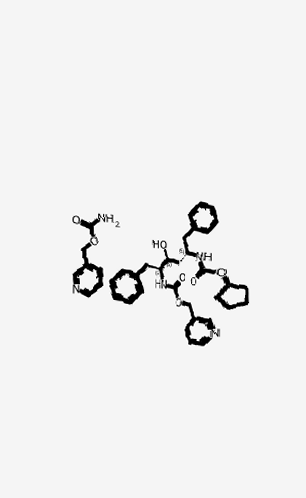 NC(=O)OCc1cccnc1.O=C(N[C@@H](Cc1ccccc1)[C@@H](O)C[C@H](Cc1ccccc1)NC(=O)OC1CCCC1)OCc1cccnc1